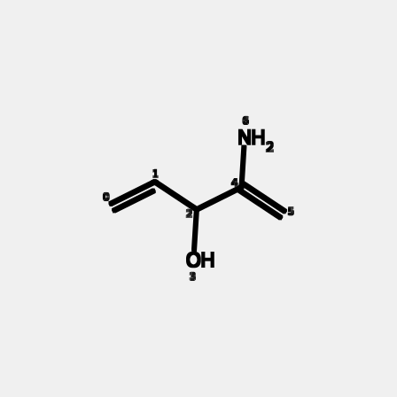 C=CC(O)C(=C)N